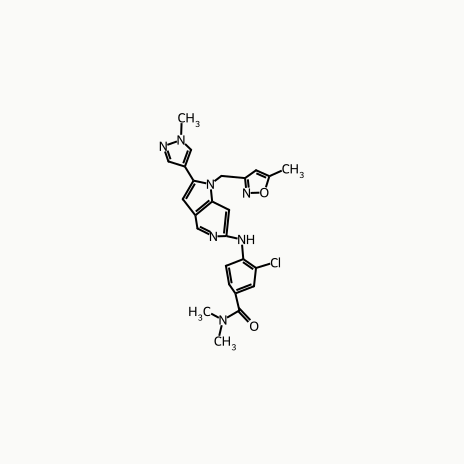 Cc1cc(Cn2c(-c3cnn(C)c3)cc3cnc(Nc4ccc(C(=O)N(C)C)cc4Cl)cc32)no1